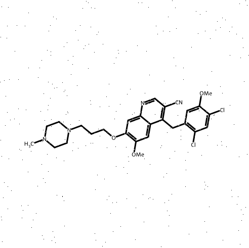 COc1cc(Cc2c(C#N)cnc3cc(OCCCN4CCN(C)CC4)c(OC)cc23)c(Cl)cc1Cl